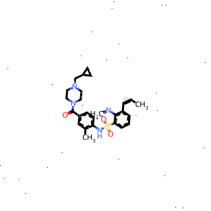 C=Nc1c(/C=C\C)cccc1S(=O)(=O)Nc1ccc(C(=O)N2CCN(CC3CC3)CC2)cc1C